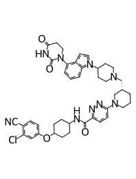 N#Cc1ccc(OC2CCC(NC(=O)c3ccc(N4CCC[C@@H](CN5CCC(n6ccc7c(N8CCC(=O)NC8=O)cccc76)CC5)C4)nn3)CC2)cc1Cl